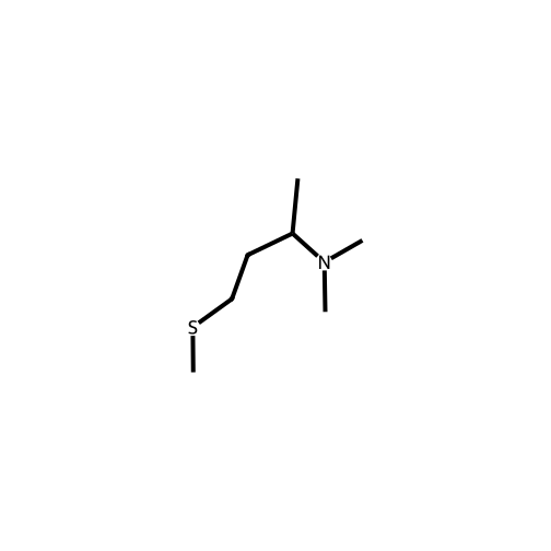 CSCCC(C)N(C)C